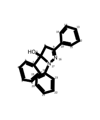 OC1(c2ccccc2)CC(c2ccccc2)=NN1c1ccccc1